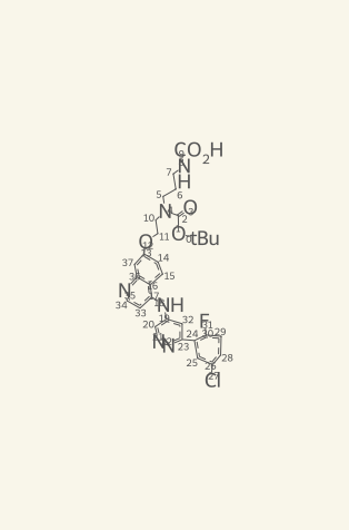 CC(C)(C)OC(=O)N(CCCNC(=O)O)CCOc1ccc2c(Nc3cnnc(-c4cc(Cl)ccc4F)c3)ccnc2c1